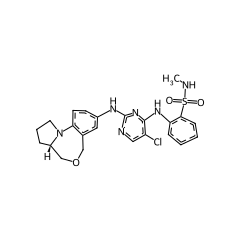 CNS(=O)(=O)c1ccccc1Nc1nc(Nc2ccc3c(c2)COC[C@@H]2CCCN32)ncc1Cl